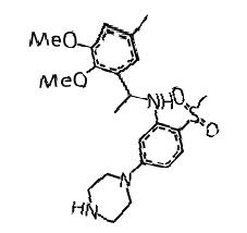 COc1cc(C)cc(C(C)Nc2cc(N3CCNCC3)ccc2S(C)(=O)=O)c1OC